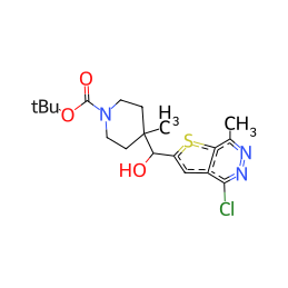 Cc1nnc(Cl)c2cc(C(O)C3(C)CCN(C(=O)OC(C)(C)C)CC3)sc12